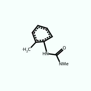 [CH2]c1ccccc1NC(=O)NC